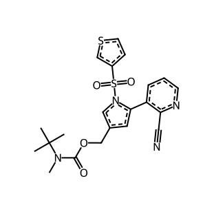 CN(C(=O)OCc1cc(-c2cccnc2C#N)n(S(=O)(=O)c2ccsc2)c1)C(C)(C)C